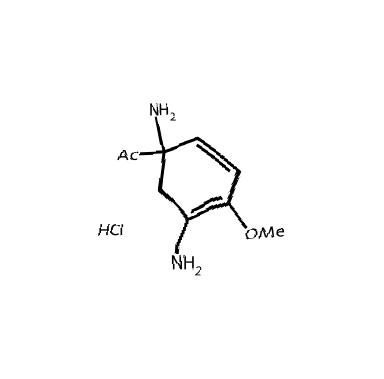 COC1=C(N)CC(N)(C(C)=O)C=C1.Cl